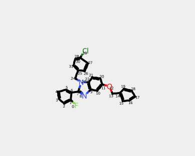 Fc1ccccc1-c1nc2cc(OCc3ccccc3)ccc2n1Cc1ccc(Cl)cc1